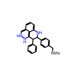 CNCc1ccc(C2Nc3cccc4c3=C(NNC=4)C2c2ccccc2)cc1